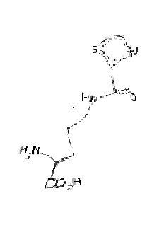 NC(CCCNC(=O)c1nccs1)C(=O)O